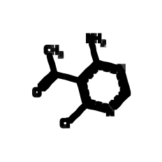 CC(=O)c1c(N)ncnc1Cl